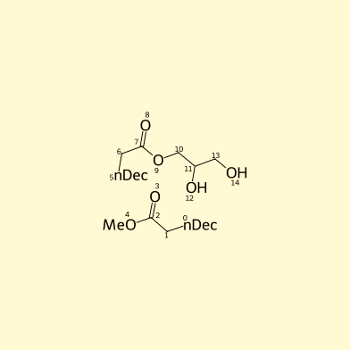 CCCCCCCCCCCC(=O)OC.CCCCCCCCCCCC(=O)OCC(O)CO